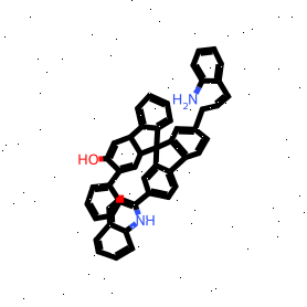 Nc1ccccc1/C=C\Cc1ccc2c(c1)C1(c3cc(C4=CC=C5C=CC=CC5N4)ccc3-2)c2ccccc2C2C=C(O)C(c3ccccc3)=CC21